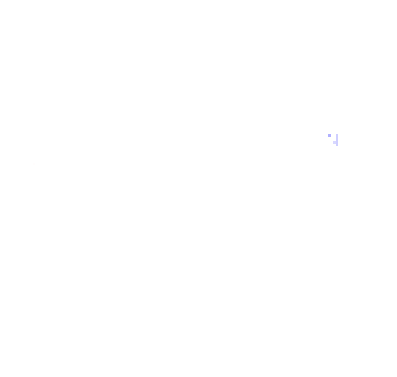 CN1CCCC2C(c3ccc(O)cc3)c3ccccc3C21